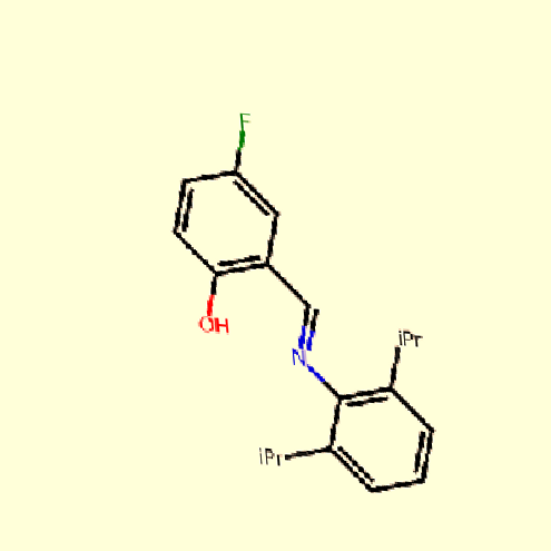 CC(C)c1cccc(C(C)C)c1N=Cc1cc(F)ccc1O